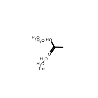 CC(=O)O.O.O.O.O.[Tm]